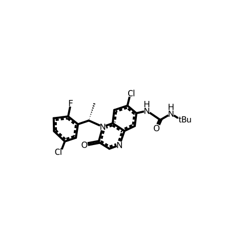 C[C@@H](c1cc(Cl)ccc1F)n1c(=O)cnc2cc(NC(=O)NC(C)(C)C)c(Cl)cc21